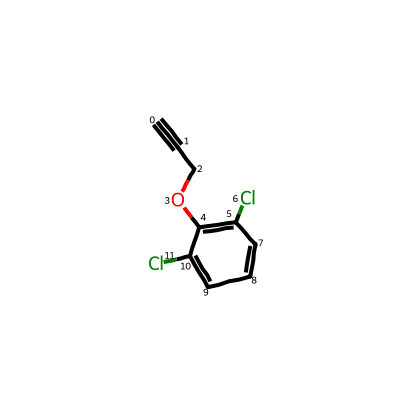 C#CCOc1c(Cl)cccc1Cl